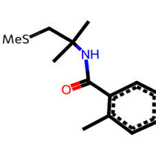 CSCC(C)(C)NC(=O)c1ccccc1C